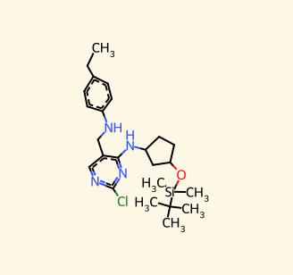 CCc1ccc(NCc2cnc(Cl)nc2NC2CCC(O[Si](C)(C)C(C)(C)C)C2)cc1